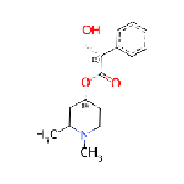 CC1C[C@H](OC(=O)[C@H](CO)c2ccccc2)CCN1C